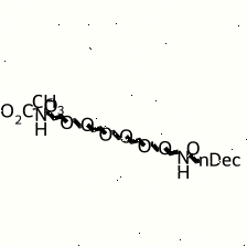 CCCCCCCCCCCC(=O)NCCOCCOCCOCCOCCOCCOCCC(=O)N[C@@H](C)C(=O)O